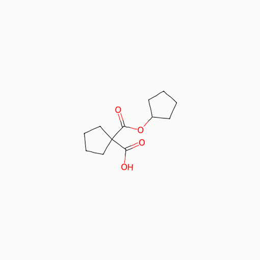 O=C(O)C1(C(=O)OC2CCCC2)CCCC1